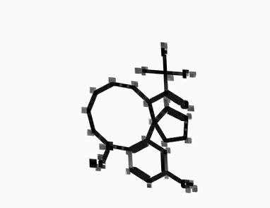 Cc1ccc2c(c1)C1(C=CCC1)C(C(=O)C(F)(F)F)CCCCCN2C